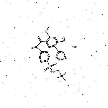 C=C(C(=O)c1ccc(S(=O)(=O)NCC(F)(F)F)cc1)c1cc(-c2cccs2)c(OC)cc1OC.[NaH]